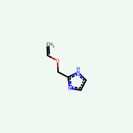 C=COCc1ncc[nH]1